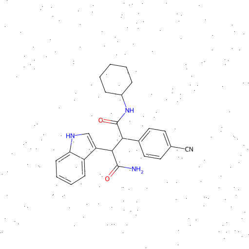 N#Cc1ccc(C(C(=O)NC2CCCCC2)C(C(N)=O)c2c[nH]c3ccccc23)cc1